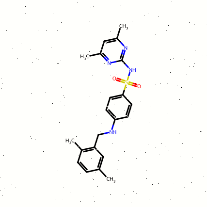 Cc1ccc(C)c(CNc2ccc(S(=O)(=O)Nc3nc(C)cc(C)n3)cc2)c1